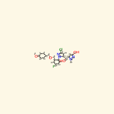 COc1ccc(COCc2cc(F)ccc2-n2nc(Cl)cc2C(O)c2cc(O)nn2C)cc1